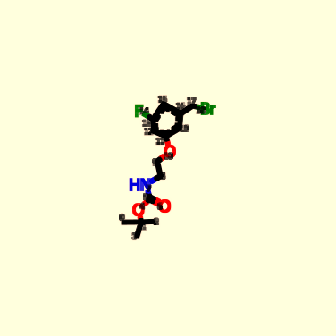 CC(C)(C)OC(=O)NCCOc1cc(F)cc(CBr)c1